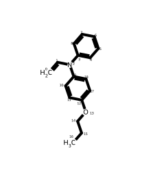 C=CN(c1ccccc1)c1ccc(OCCC)cc1